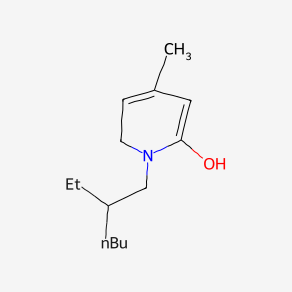 CCCCC(CC)CN1CC=C(C)C=C1O